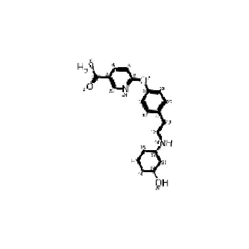 NC(=O)c1ccc(Oc2ccc(CCN[C@@H]3CCC[C@H](O)C3)cc2)nc1